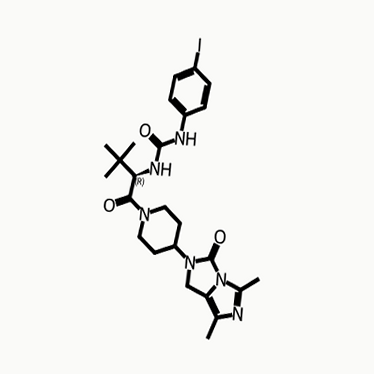 Cc1nc(C)n2c1CN(C1CCN(C(=O)[C@H](NC(=O)Nc3ccc(I)cc3)C(C)(C)C)CC1)C2=O